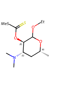 CCOC1O[C@H](C)C[C@H](N(C)C)[C@H]1OC(=S)SC